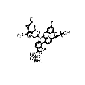 Cn1nc(NS(N)(=O)=O)c2cccc(-c3ccc(C#CC(C)(C)O)nc3[C@H](Cc3cc(F)cc(F)c3)NC(=O)Cn3nc(C(F)(F)F)c([C@H]4CC4CF)c3CF)c21